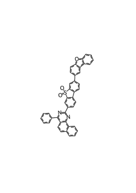 O=S1(=O)c2cc(-c3ccc4oc5ccccc5c4c3)ccc2-c2ccc(-c3nc(-c4ccccc4)c4ccc5ccccc5c4n3)cc21